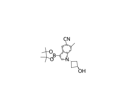 Cc1cc2c(cc1C#N)c(B1OC(C)(C)C(C)(C)O1)cn2[C@H]1C[C@H](O)C1